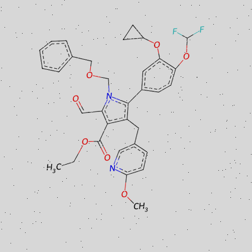 CCOC(=O)c1c(Cc2ccc(OC)nc2)c(-c2ccc(OC(F)F)c(OC3CC3)c2)n(COCc2ccccc2)c1C=O